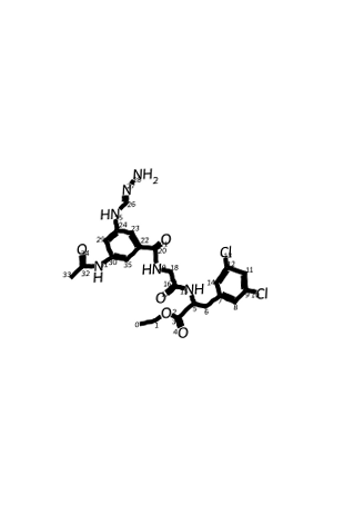 CCOC(=O)C(Cc1cc(Cl)cc(Cl)c1)NC(=O)CNC(=O)c1cc(NC=NN)cc(NC(C)=O)c1